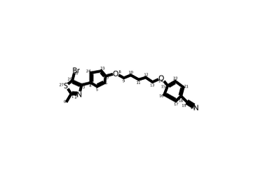 Cc1nc(-c2ccc(OCCCCCOc3ccc(C#N)cc3)cc2)c(Br)s1